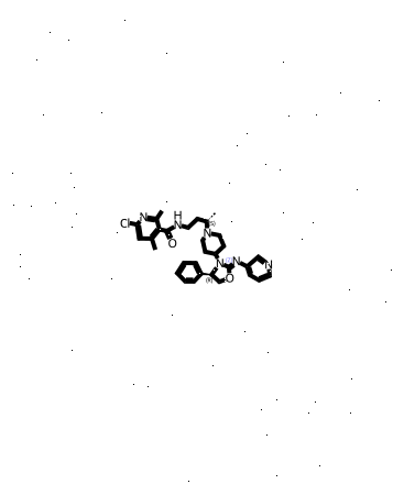 Cc1cc(Cl)nc(C)c1C(=O)NCC[C@H](C)N1CCC(N2/C(=N/c3cccnc3)OC[C@H]2c2ccccc2)CC1